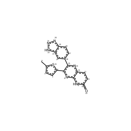 Cc1ccc(-c2nc3[nH]c(=O)ccc3nc2-c2ccc3nn[nH]c3c2)s1